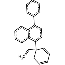 C=CC1(c2ccc(-c3ccccc3)c3ccccc23)C=CC=CC1